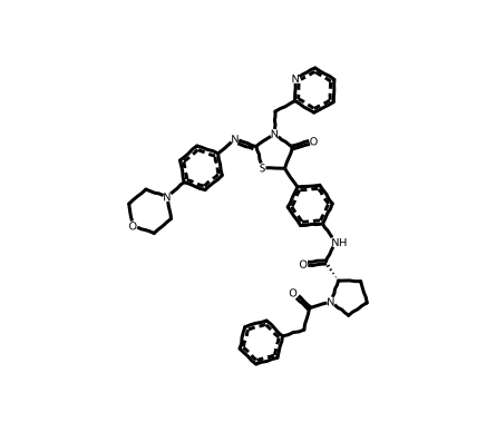 O=C(Nc1ccc(C2S/C(=N\c3ccc(N4CCOCC4)cc3)N(Cc3ccccn3)C2=O)cc1)[C@@H]1CCCN1C(=O)Cc1ccccc1